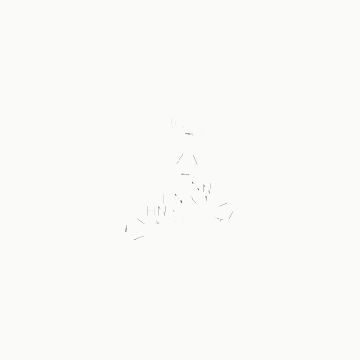 O=C(O)Cc1ccc(-n2nc(-c3cccs3)cc2NC(=O)N[C@H]2CCc3ccccc32)cc1